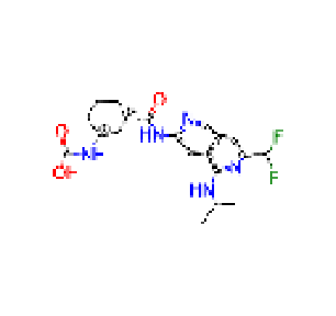 CC(C)Nc1nc(C(F)F)cc2cnc(NC(=O)[C@H]3CCC[C@@H](NC(=O)O)C3)cc12